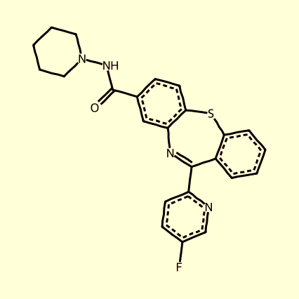 O=C(NN1CCCCC1)c1ccc2c(c1)N=C(c1ccc(F)cn1)c1ccccc1S2